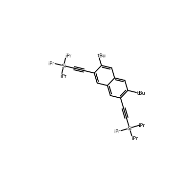 CC(C)[Si](C#Cc1cc2cc(C#C[Si](C(C)C)(C(C)C)C(C)C)c(C(C)(C)C)cc2cc1C(C)(C)C)(C(C)C)C(C)C